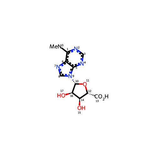 CNc1ncnc2c1ncn2[C@@H]1O[C@H](C(=O)O)[C@@H](O)[C@H]1O